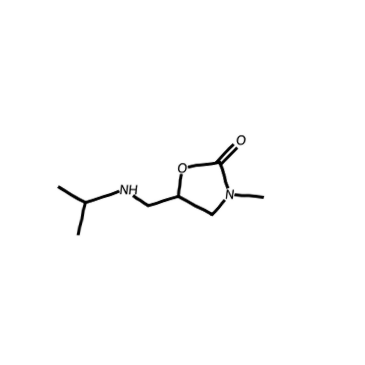 CC(C)NCC1CN(C)C(=O)O1